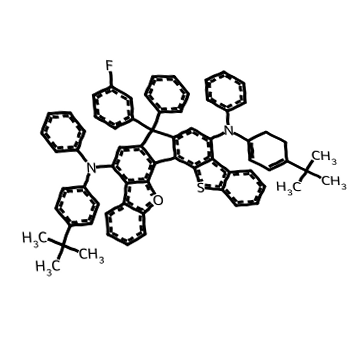 CC(C)(C)C1=CC=C(N(c2ccccc2)c2cc3c(c4sc5ccccc5c24)-c2c(cc(N(c4ccccc4)c4ccc(C(C)(C)C)cc4)c4c2oc2ccccc24)C3(c2ccccc2)c2cccc(F)c2)CC1